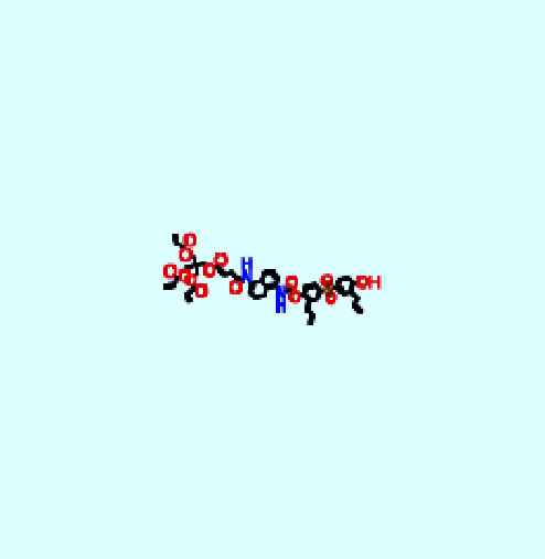 C=CCc1cc(S(=O)(=O)c2ccc(OC(=O)Nc3cccc4c(NC(=O)CCC(=O)OCC(COC(=O)C=C)(COC(=O)C=C)COC(=O)C=C)cccc34)c(CC=C)c2)ccc1O